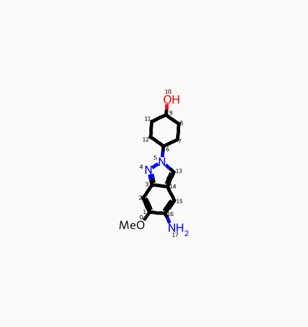 COc1cc2nn(C3CCC(O)CC3)cc2cc1N